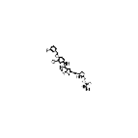 CCNC(=O)OC[C@H]1CC[C@H](C#Cc2cc3c(Nc4ccc(OCc5cccc(F)c5)c(Cl)c4)ncnc3s2)N1